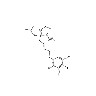 CC(C)OC(CCCCCc1cc(F)c(F)c(F)c1F)(O[SiH3])OC(C)C